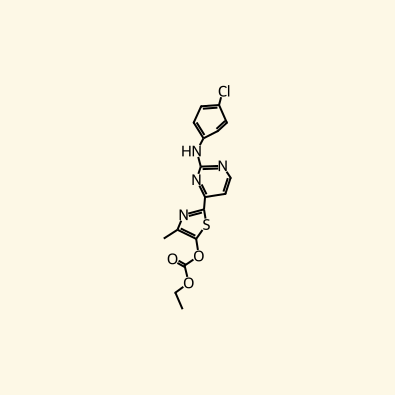 CCOC(=O)Oc1sc(-c2ccnc(Nc3ccc(Cl)cc3)n2)nc1C